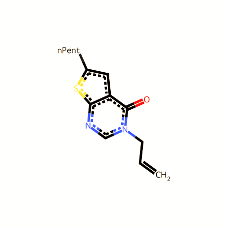 C=CCn1cnc2sc(CCCCC)cc2c1=O